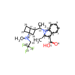 Cc1c(C(=O)O)c2ccccc2n1[C@H](C)C1CC2(N(C)CC(F)(F)F)CCC12